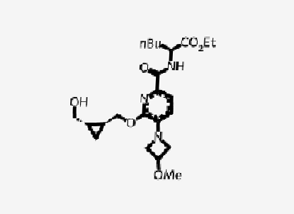 CCCCC(NC(=O)c1ccc(N2CC(OC)C2)c(OC[C@H]2C[C@@H]2CO)n1)C(=O)OCC